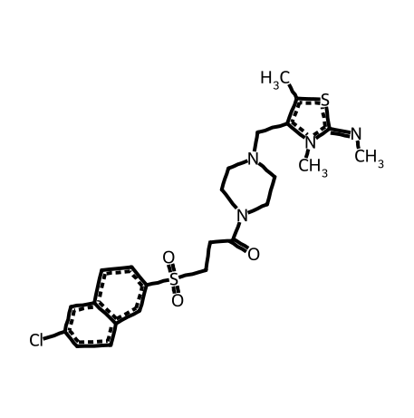 CN=c1sc(C)c(CN2CCN(C(=O)CCS(=O)(=O)c3ccc4cc(Cl)ccc4c3)CC2)n1C